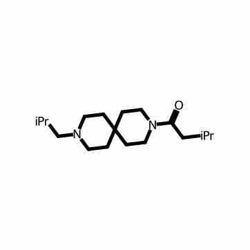 CC(C)CC(=O)N1CCC2(CCN(CC(C)C)CC2)CC1